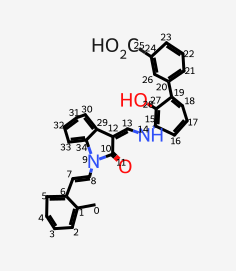 Cc1ccccc1C=CN1C(=O)C(=CNc2cccc(-c3cccc(C(=O)O)c3)c2O)c2ccccc21